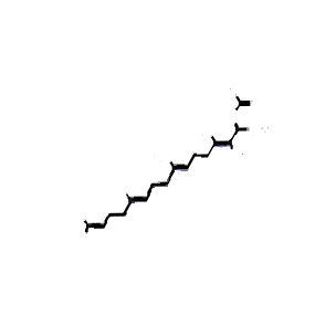 CC/C(=C(/C)CC/C=C(\C)CC/C=C(\C)CCC=C(C)C)C(OC)OC(N)=S